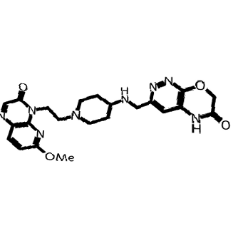 COc1ccc2ncc(=O)n(CCN3CCC(NCc4cc5c(nn4)OCC(=O)N5)CC3)c2n1